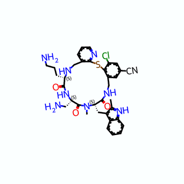 Cc1[nH]c2ccccc2c1C[C@H]1C(=O)NCc2cc(C#N)cc(Cl)c2Sc2ncccc2CN[C@@H](CCCN)C(=O)N[C@@H](CN)C(=O)N1C